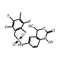 CCCN1C(=O)OC(C#N)c2cc(NS(=O)(=O)Cc3c(F)c(F)c(C)c(F)c3F)ccc21